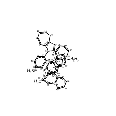 Cc1cc(C2=CC3=C(C=CC=CC3)C2c2ccc([SiH3])c(C)c2C2C(c3cc(C)cc4ccccc34)=CC3=C2C=CC=CC3)c2ccccc2c1